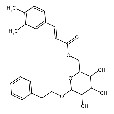 Cc1ccc(/C=C/C(=O)OCC2OC(OCCc3ccccc3)C(O)C(O)C2O)cc1C